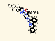 CCOC(=O)c1cnc(N2CCN(c3nnc(Cc4ccccc4)c4ccccc34)CC2C(=O)OC)nc1C(F)(F)F